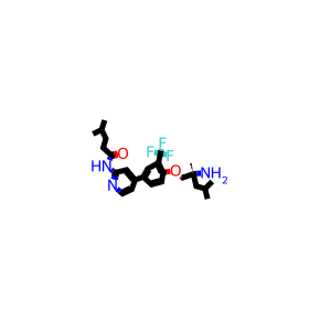 CC(C)CCC(=O)Nc1cc(-c2ccc(OC[C@@](C)(N)CC(C)C)c(C(F)(F)F)c2)ccn1